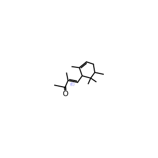 CC(=O)/C(C)=C/C1C(C)=CCC(C)C1(C)C